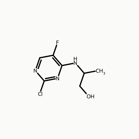 CC(CO)Nc1nc(Cl)ncc1F